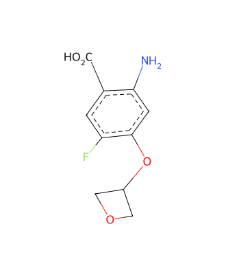 Nc1cc(OC2COC2)c(F)cc1C(=O)O